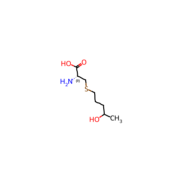 CC(O)CCCSC[C@H](N)C(=O)O